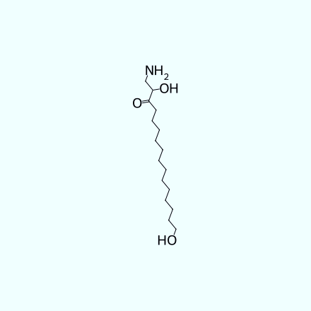 NCC(O)C(=O)CCCCCCCCCCCCCO